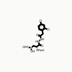 CCCCC[C@H](CN(O)C=O)C(=O)NNC(=O)Cc1ccc(Cl)cc1Cl